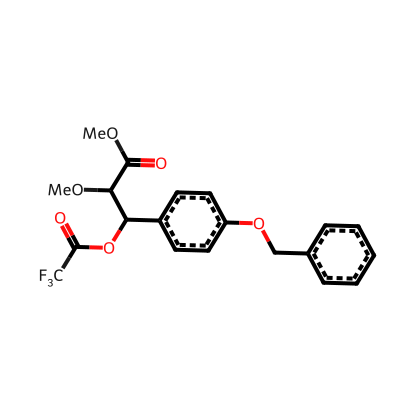 COC(=O)C(OC)C(OC(=O)C(F)(F)F)c1ccc(OCc2ccccc2)cc1